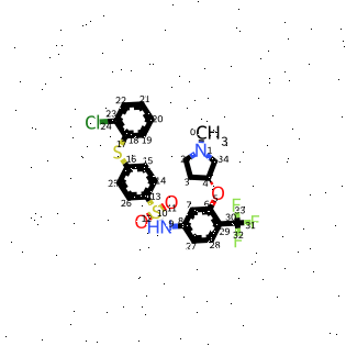 CN1CC[C@@H](Oc2cc(NS(=O)(=O)c3ccc(Sc4ccccc4Cl)cc3)ccc2C(F)(F)F)C1